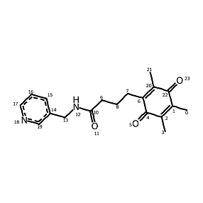 CC1=C(C)C(=O)C(CCCC(=O)NCc2cccnc2)=C(C)C1=O